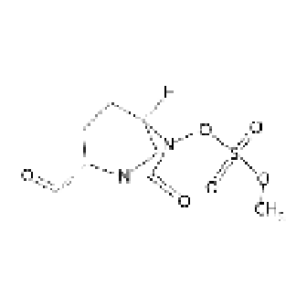 COS(=O)(=O)ON1C(=O)N2C[C@H]1CC[C@H]2C=O